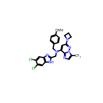 COc1ccc(CN(Cc2nc3cc(Cl)c(Cl)cc3[nH]2)c2cc(N3CCC3)nn3c(C(F)(F)F)cnc23)cc1